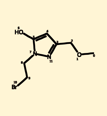 COCc1cc(O)n(CCBr)n1